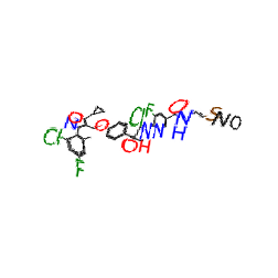 Cc1cc(F)cc(Cl)c1-c1noc(C2CC2)c1COc1ccc(C2(O)CN(c3ncc(C(=O)NCCSN=O)cc3F)C2)c(Cl)c1